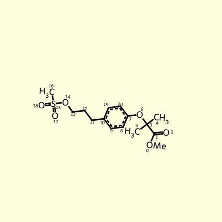 COC(=O)C(C)(C)Oc1ccc(CCCOS(C)(=O)=O)cc1